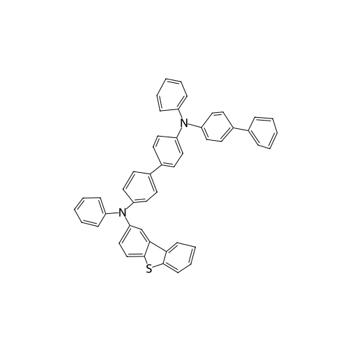 c1ccc(-c2ccc(N(c3ccccc3)c3ccc(-c4ccc(N(c5ccccc5)c5ccc6sc7ccccc7c6c5)cc4)cc3)cc2)cc1